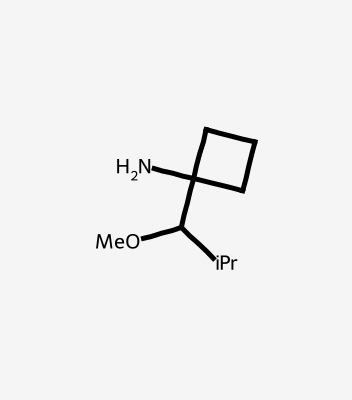 COC(C(C)C)C1(N)CCC1